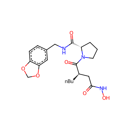 CCCC[C@H](CC(=O)NO)C(=O)N1CCC[C@H]1C(=O)NCc1ccc2c(c1)OCO2